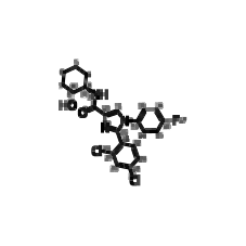 O=C(N[C@@H]1CCCC[C@H]1O)c1cn(-c2ccc(F)cc2)c(-c2ccc(Cl)cc2Cl)n1